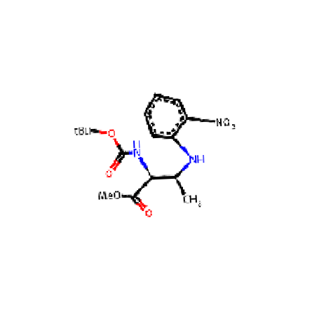 COC(=O)[C@@H](NC(=O)OC(C)(C)C)[C@H](C)Nc1ccccc1[N+](=O)[O-]